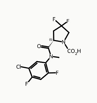 CN(C(=O)[C@@H]1CC(F)(F)CN1C(=O)O)c1cc(Cl)c(F)cc1F